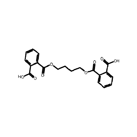 O=C(O)c1ccccc1C(=O)OCCCCOC(=O)c1ccccc1C(=O)O